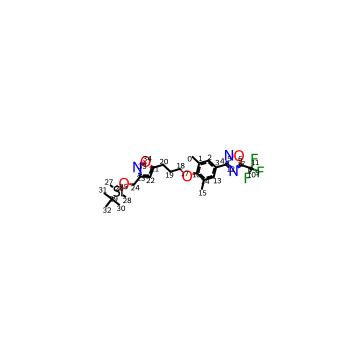 Cc1cc(-c2noc(C(F)(F)F)n2)cc(C)c1OCCCc1cc(CO[Si](C)(C)C(C)(C)C)no1